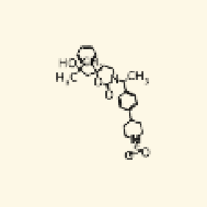 C[C@@H](c1ccc(C2CCN([SH](=O)=O)CC2)cc1)N1CCC(CC(C)(C)O)(c2ccccc2)OC1=O